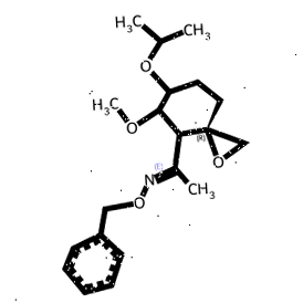 COC1C(OC(C)C)CC[C@]2(CO2)C1/C(C)=N/OCc1ccccc1